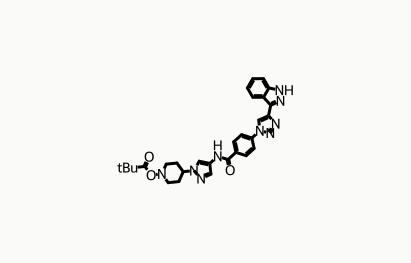 CC(C)(C)C(=O)ON1CCC(n2cc(NC(=O)c3ccc(-n4cc(-c5n[nH]c6ccccc56)nn4)cc3)cn2)CC1